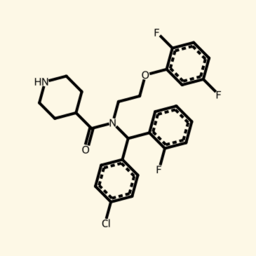 O=C(C1CCNCC1)N(CCOc1cc(F)ccc1F)C(c1ccc(Cl)cc1)c1ccccc1F